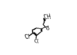 C#CCC1(c2ccc(Cl)c(Cl)c2)CO1